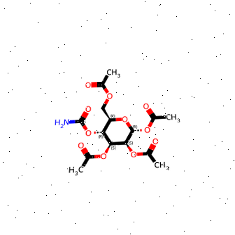 CC(=O)OC[C@H]1O[C@H](OC(C)=O)[C@@H](OC(C)=O)[C@@H](OC(C)=O)[C@@H]1OC(N)=O